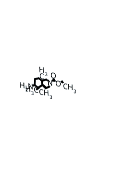 CCOC(=O)N1CC=C2C(C)(CCC(N)C2(C)C)C1